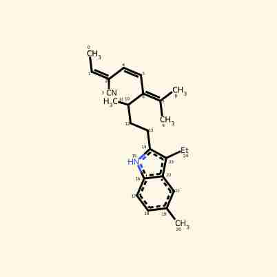 C/C=C(C#N)\C=C/C(=C(C)C)C(C)CCc1[nH]c2ccc(C)cc2c1CC